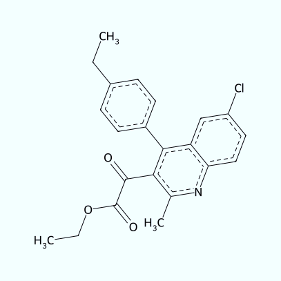 CCOC(=O)C(=O)c1c(C)nc2ccc(Cl)cc2c1-c1ccc(CC)cc1